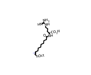 CCCCCCCC/C=C\CCCCCCCC(=O)N[C@H](CCCNC(=N)N)C(=O)O